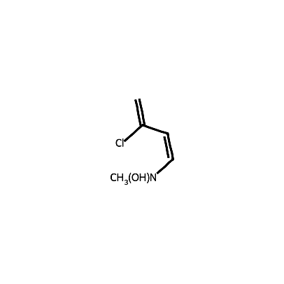 C=C(Cl)/C=C\N(C)O